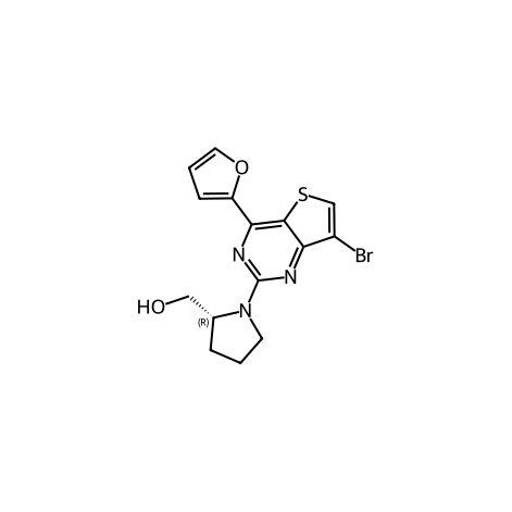 OC[C@H]1CCCN1c1nc(-c2ccco2)c2scc(Br)c2n1